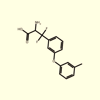 Cc1cccc(Oc2cccc(C(F)(F)C(N)C(=O)O)c2)c1